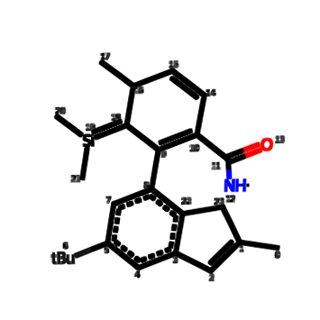 CC1=Cc2cc(C(C)(C)C)cc(C3=C(C([NH])=O)C=CC(C)C3=[Si](C)C)c2C1